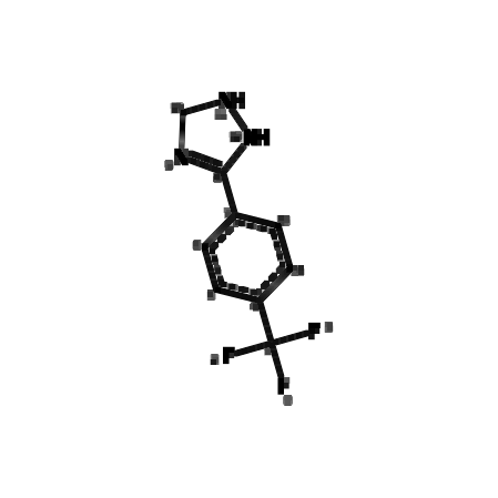 FC(F)(F)c1ccc(C2=NCNN2)cc1